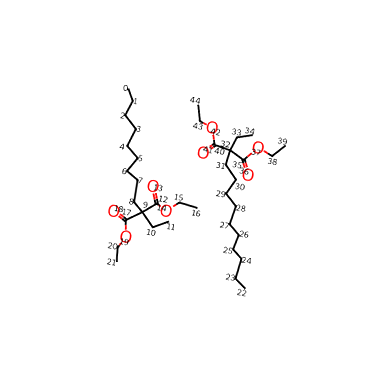 CCCCCCCCCC(CC)(C(=O)OCC)C(=O)OCC.CCCCCCCCCCC(CC)(C(=O)OCC)C(=O)OCC